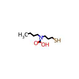 CCCCN(CCCS)C(=O)O